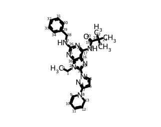 CCn1c(-n2ccc(N3C=CC=CC3)n2)nc2c(NC(=O)C(C)(C)C)nc(NCc3ccccc3)nc21